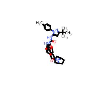 Cc1ccc(-n2nc(C(C)(C)C)cc2NC(=O)Nc2ccc(CC3CC4CCC(C3)N4C(=O)CCc3ccco3)cc2)cc1